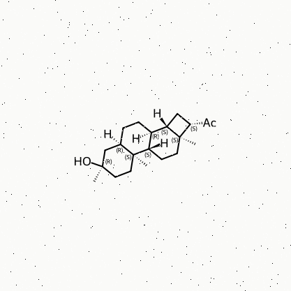 CC(=O)[C@H]1C[C@H]2[C@@H]3CC[C@@H]4C[C@](C)(O)CC[C@]4(C)[C@H]3CC[C@]12C